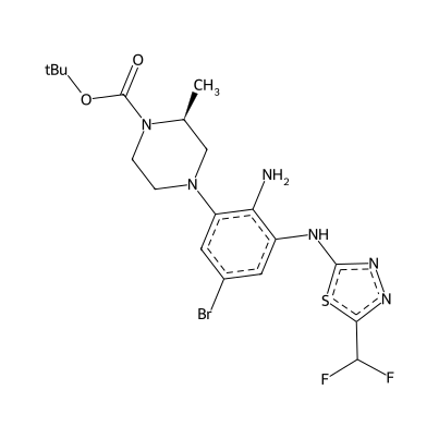 C[C@H]1CN(c2cc(Br)cc(Nc3nnc(C(F)F)s3)c2N)CCN1C(=O)OC(C)(C)C